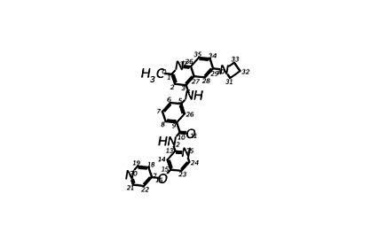 Cc1cc(Nc2cccc(C(=O)Nc3cc(Oc4ccncc4)ccn3)c2)c2cc(N3CCC3)ccc2n1